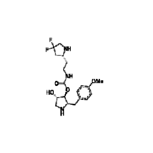 COc1ccc(C[C@H]2NC[C@H](O)[C@H]2OC(=O)NCC[C@@H]2CC(F)(F)CN2)cc1